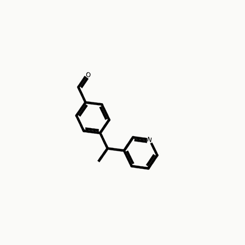 CC(c1ccc(C=O)cc1)c1cccnc1